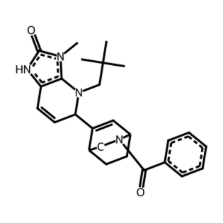 Cn1c2c([nH]c1=O)C=CC(C1=CC3CCC1CN3C(=O)c1ccccc1)N2CC(C)(C)C